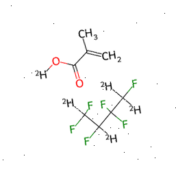 [2H]C([2H])(F)C(F)(F)C([2H])(F)C([2H])(F)F.[2H]OC(=O)C(=C)C